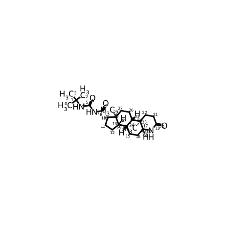 CC(C)(C)NC(=O)NC(=O)[C@H]1CC[C@H]2[C@@H]3CC[C@H]4NC(=O)CC[C@]4(C)[C@H]3CC[C@]12C